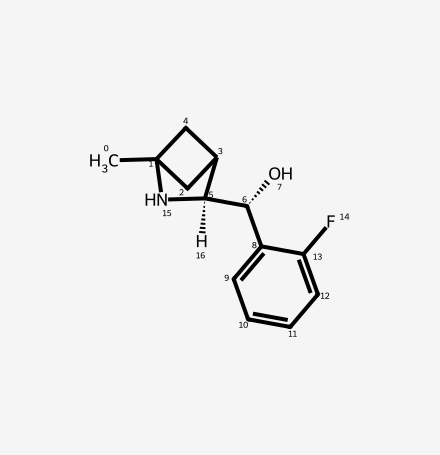 CC12CC(C1)[C@@H]([C@H](O)c1ccccc1F)N2